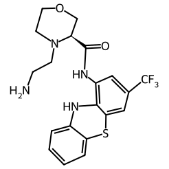 NCCN1CCOC[C@H]1C(=O)Nc1cc(C(F)(F)F)cc2c1Nc1ccccc1S2